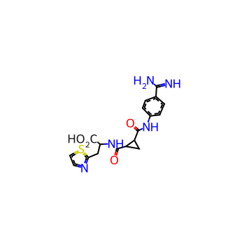 N=C(N)c1ccc(NC(=O)C2CC2C(=O)NC(Cc2nccs2)C(=O)O)cc1